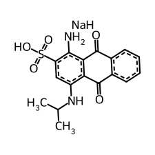 CC(C)Nc1cc(S(=O)(=O)O)c(N)c2c1C(=O)c1ccccc1C2=O.[NaH]